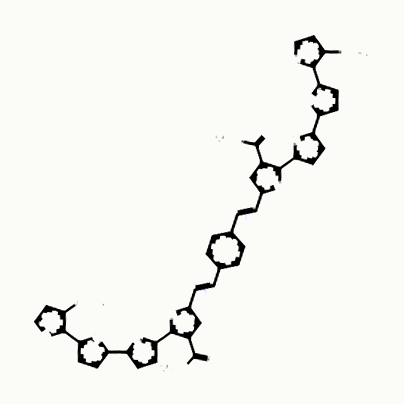 CCCCCCc1ccsc1-c1ccc(-c2ccc(-c3sc(/C=C/c4ccc(/C=C/c5cc(C(=O)OC)c(-c6ccc(-c7ccc(-c8sccc8CCCCCC)s7)s6)s5)cc4)cc3C(=O)OC)s2)s1